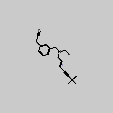 CCN(C/C=C/C#CC(C)(C)C)Cc1cccc(CC#N)c1